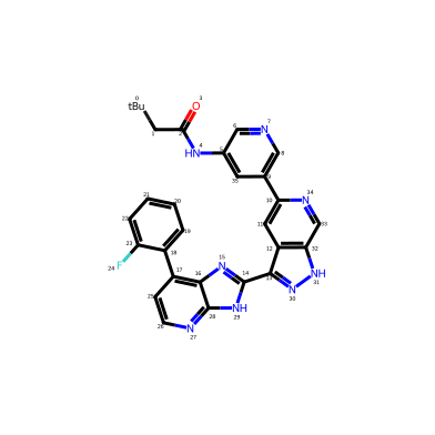 CC(C)(C)CC(=O)Nc1cncc(-c2cc3c(-c4nc5c(-c6ccccc6F)ccnc5[nH]4)n[nH]c3cn2)c1